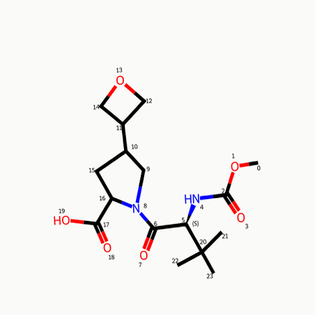 COC(=O)N[C@H](C(=O)N1CC(C2COC2)CC1C(=O)O)C(C)(C)C